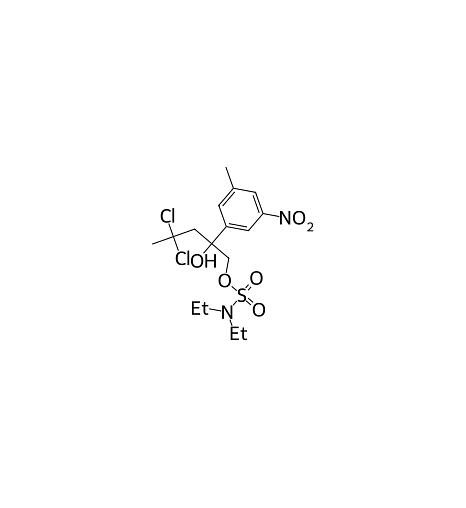 CCN(CC)S(=O)(=O)OCC(O)(CC(C)(Cl)Cl)c1cc(C)cc([N+](=O)[O-])c1